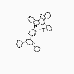 CC1(C)c2ccccc2-c2c1c1c(c3ccccc3n1-c1ccc(-c3cc(-c4ccccc4)cc(-c4ccccc4)n3)cc1)c1oc3ccccc3c21